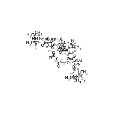 CCCCC(CCCOC(=O)CCC(=O)OCCCC(CCCC)(C(=O)OC1CC(C)(C)NC(C)(C)C1)C(=O)OC1CC(C)(C)NC(C)(C)C1)(C(=O)OC1CC(C)(C)NC(C)(C)C1)C(=O)OC1CC(C)(C)NC(C)(C)C1